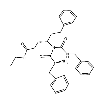 CCOC(=O)CC[C@H](CCc1ccccc1)N(C(=O)NCc1ccccc1)C(=O)[C@@H](N)Cc1ccccc1